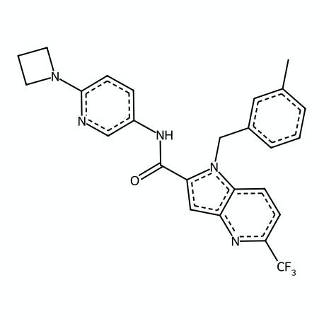 Cc1cccc(Cn2c(C(=O)Nc3ccc(N4CCC4)nc3)cc3nc(C(F)(F)F)ccc32)c1